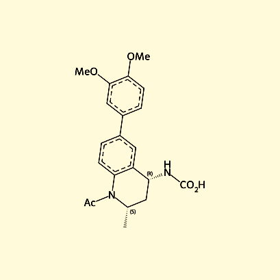 COc1ccc(-c2ccc3c(c2)[C@H](NC(=O)O)C[C@H](C)N3C(C)=O)cc1OC